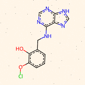 Oc1c(CNc2ncnc3[nH]cnc23)cccc1OCl